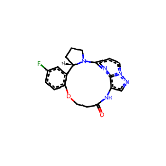 O=C1CCOc2ccc(F)cc2[C@@H]2CCCN2c2ccn3ncc(c3n2)N1